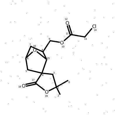 CC1(C)CC2(CC3CC(COC(=O)CCl)C2O3)C(=O)O1